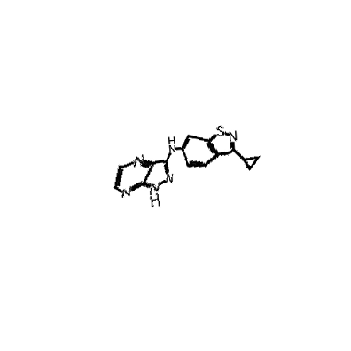 c1cnc2c(Nc3ccc4c(C5CC5)nsc4c3)n[nH]c2n1